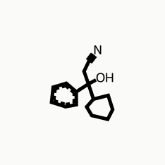 N#CCC(O)(c1ccccc1)C1CCCCC1